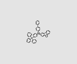 c1ccc(-c2ccc(N(c3ccc(C(c4ccccc4)(c4ccccc4)c4ccccc4)cc3)c3ccc4oc5ccccc5c4c3)cc2)cc1